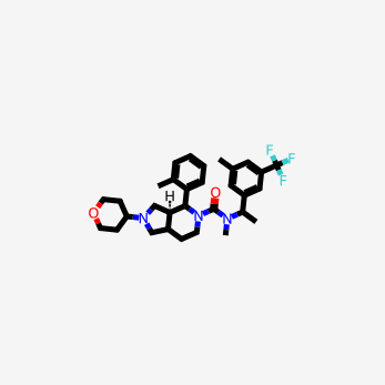 Cc1cc(C(C)N(C)C(=O)N2CCC3CN(C4CCOCC4)C[C@H]3C2c2ccccc2C)cc(C(F)(F)F)c1